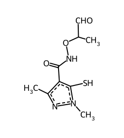 Cc1nn(C)c(S)c1C(=O)NOC(C)C=O